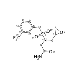 NC(=O)CN(CC1CO1)S(=O)(=O)Cc1cccc(C(F)(F)F)c1